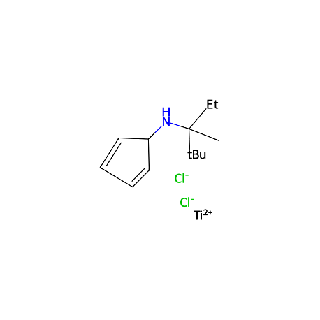 CCC(C)(NC1C=CC=C1)C(C)(C)C.[Cl-].[Cl-].[Ti+2]